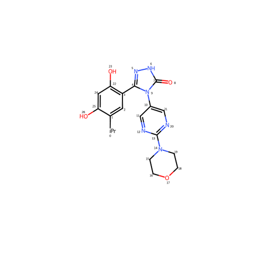 CC(C)c1cc(-c2n[nH]c(=O)n2-c2cnc(N3CCOCC3)nc2)c(O)cc1O